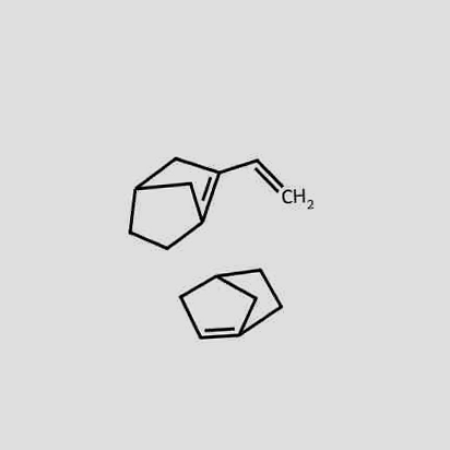 C1=C2CCC(C1)C2.C=CC1=C2CCC(C1)C2